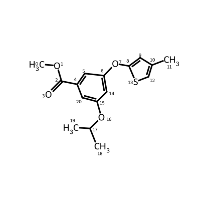 COC(=O)c1cc(Oc2cc(C)cs2)cc(OC(C)C)c1